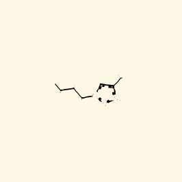 CC(C)c1cn(CCCF)nn1